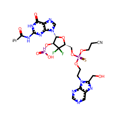 CC(C)C(=O)Nc1nc2c(ncn2[C@@H]2O[C@H](COP(=S)(OCCC#N)OCCn3c(CO)nc4cncnc43)C(F)(F)[C@H]2O[PH](=O)O)c(=O)[nH]1